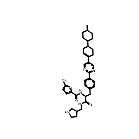 CC1CCC(C2CC=C(c3cnc(-c4ccc(CC(NC(=O)c5ccc(C(C)(C)C)s5)C(=O)NCC5CCNC5)cc4)nc3)CC2)CC1